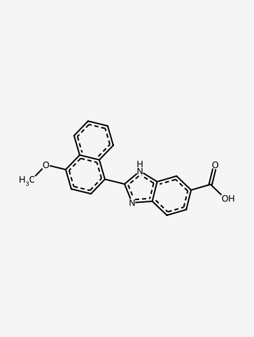 COc1ccc(-c2nc3ccc(C(=O)O)cc3[nH]2)c2ccccc12